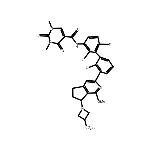 CCOC(=O)C1CN([C@H]2CCc3cc(-c4cccc(-c5c(F)ccc(NC(=O)c6cn(C)c(=O)n(C)c6=O)c5Cl)c4Cl)nc(OC)c32)C1